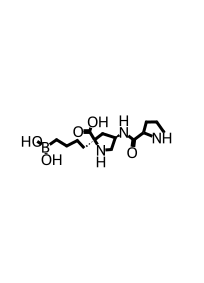 O=C(N[C@H]1CN[C@@](CCCCB(O)O)(C(=O)O)C1)C1CCCN1